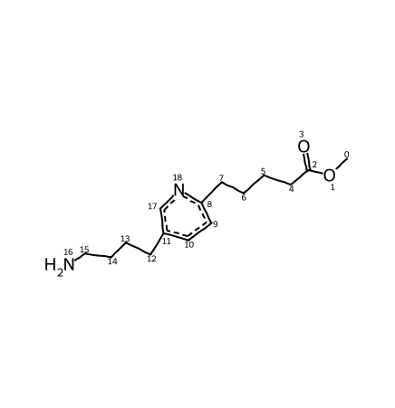 COC(=O)CCCCc1ccc(CCCCN)cn1